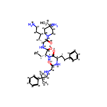 CC(C)C[C@@H](NC(=O)[C@@H](CCc1ccccc1)NC(=O)CNCC(C)(C)c1ccccc1)C(=O)N[C@H](CCCCN)C(=O)N1CCC(N)(C(=O)O)CC1